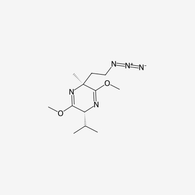 COC1=N[C@@](C)(CCN=[N+]=[N-])C(OC)=N[C@@H]1C(C)C